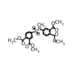 COC(=O)c1ccc(N(C)S(=O)(=O)c2ccc(C(=O)OC)c(C(=O)OC)c2)cc1C(=O)OC